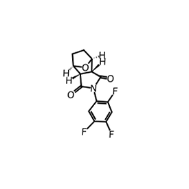 O=C1[C@@H]2[C@H](C(=O)N1c1cc(F)c(F)cc1F)[C@H]1CC[C@@H]2O1